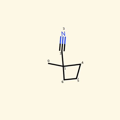 CC1(C#N)C[CH]C1